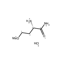 COCC[C@H](N)C(N)=O.Cl